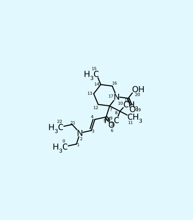 CCN(C=CC(=O)C1(C(C)(C)C)CCC(C)CN1C(=O)O)CC